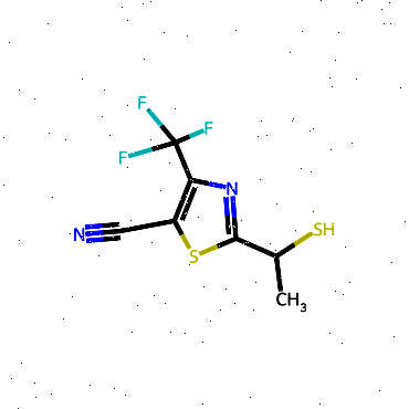 CC(S)c1nc(C(F)(F)F)c(C#N)s1